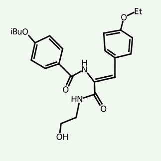 CCOc1ccc(C=C(NC(=O)c2ccc(OCC(C)C)cc2)C(=O)NCCO)cc1